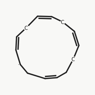 [CH]1C=CCC=CCC=CCCC=CC1